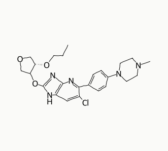 CCCO[C@H]1COCC1Oc1nc2nc(-c3ccc(N4CCN(C)CC4)cc3)c(Cl)cc2[nH]1